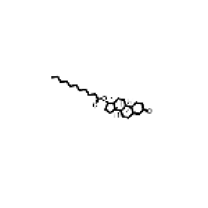 CCCCCCCCCCC(=O)OC1CC[C@H]2[C@@H]3CCC4=CC(=O)CC[C@]4(C)[C@@H]3CC[C@]12C